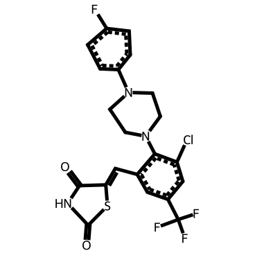 O=C1NC(=O)/C(=C/c2cc(C(F)(F)F)cc(Cl)c2N2CCN(c3ccc(F)cc3)CC2)S1